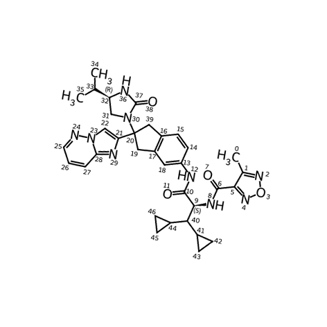 Cc1nonc1C(=O)N[C@H](C(=O)Nc1ccc2c(c1)CC(c1cn3ncccc3n1)(N1C[C@@H](C(C)C)NC1=O)C2)C(C1CC1)C1CC1